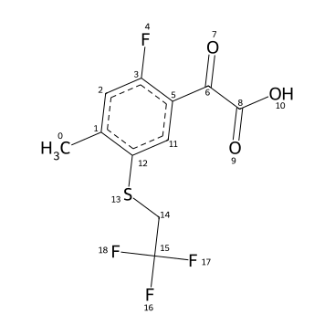 Cc1cc(F)c(C(=O)C(=O)O)cc1SCC(F)(F)F